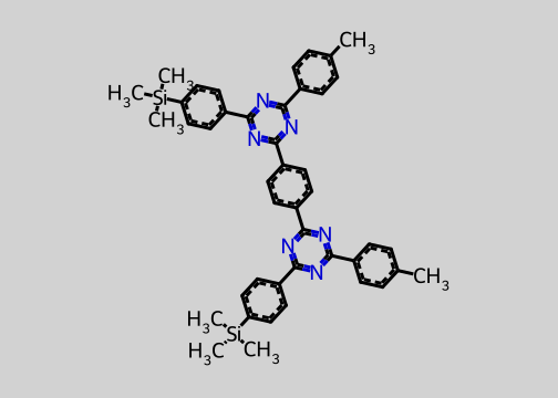 Cc1ccc(-c2nc(-c3ccc(-c4nc(-c5ccc(C)cc5)nc(-c5ccc([Si](C)(C)C)cc5)n4)cc3)nc(-c3ccc([Si](C)(C)C)cc3)n2)cc1